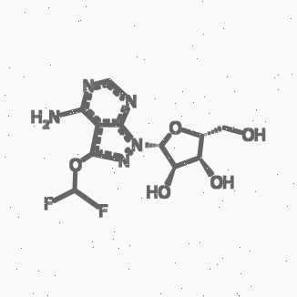 Nc1ncnc2c1c(OC(F)F)nn2[C@@H]1O[C@H](CO)[C@@H](O)[C@H]1O